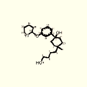 CC1(CCCCO)CCC(O)(c2cccc(OC3CCCCO3)c2)CC1